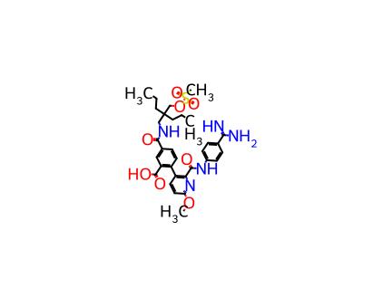 CCCC(CCC)(CNC(=O)c1ccc(-c2ccc(OC)nc2C(=O)Nc2ccc(C(=N)N)cc2)c(C(=O)O)c1)COS(C)(=O)=O